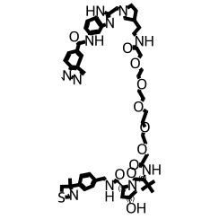 Cn1ncc2cc(C(=O)Nc3ccc4[nH]c(CN5CCC(CCNC(=O)COCCOCCOCCOCCOCC(=O)N[C@H](C(=O)N6C[C@H](O)C[C@H]6C(=O)NCc6ccc(C7(C)CSC=N7)cc6)C(C)(C)C)C5)nc4c3)ccc21